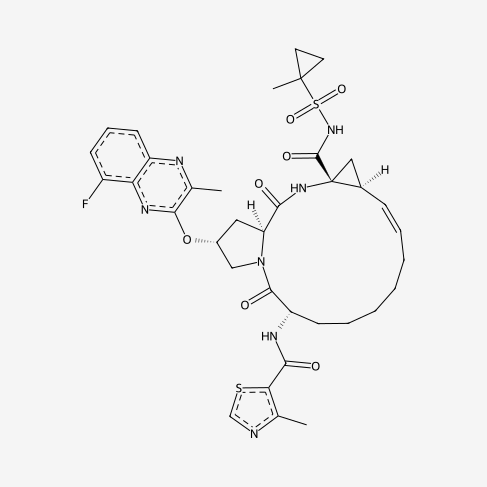 Cc1nc2cccc(F)c2nc1O[C@@H]1C[C@H]2C(=O)N[C@]3(C(=O)NS(=O)(=O)C4(C)CC4)C[C@H]3/C=C\CCCCC[C@H](NC(=O)c3scnc3C)C(=O)N2C1